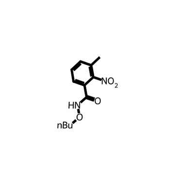 CCCCONC(=O)c1cccc(C)c1[N+](=O)[O-]